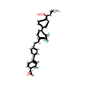 CCCC(O)c1ccc(-c2ccc(CCc3ccc(-c4ccc(C5CO5)c(F)c4)cc3)c(F)c2F)cc1